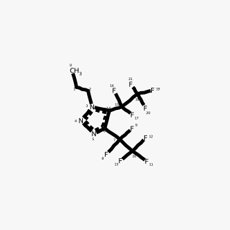 CCCn1nnc(C(F)(F)C(F)(F)F)c1C(F)(F)C(F)(F)F